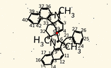 CN1/C(=C/C=C/C2=[N+](C)c3c(ccc4ccccc34)C2(C)Cc2ccccc2)C2(CCCCC2)c2c1ccc1ccccc21